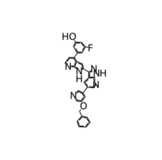 Oc1cc(F)cc(-c2ccnc3[nH]c(-c4n[nH]c5ncc(-c6cncc(OCc7ccccc7)c6)cc45)cc23)c1